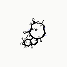 C[C@@H]1C(=O)O[C@@H](C)/C=C/C=C\[C@@H](C)[C@@H]2C=C[C@@H]3C[C@@]4(C)O[C@H]4[C@@H](C)C3C2C(=O)/C(Cl)=C/1O